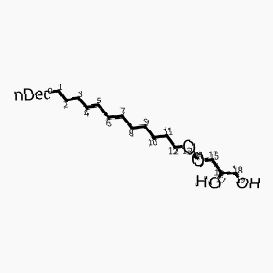 CCCCCCCCCCCCCCCCCCCCCCOOCC(O)CO